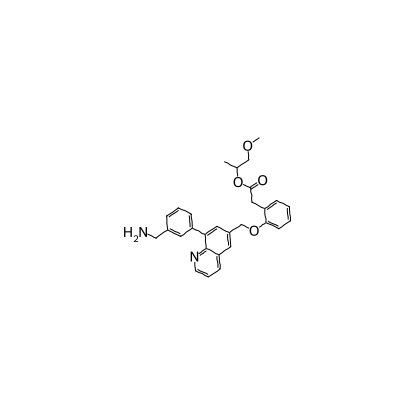 COCC(C)OC(=O)Cc1ccccc1OCc1cc(-c2cccc(CN)c2)c2ncccc2c1